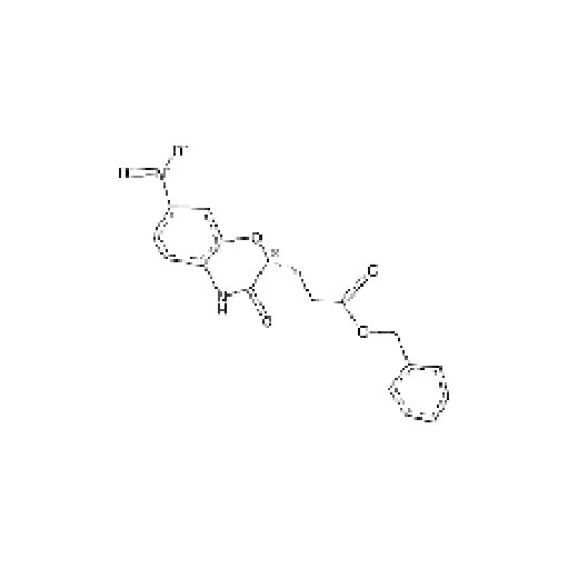 O=C(CC[C@H]1Oc2cc([N+](=O)[O-])ccc2NC1=O)OCc1ccccc1